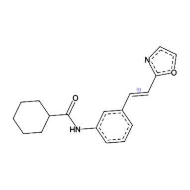 O=C(Nc1cccc(/C=C/c2ncco2)c1)C1CCCCC1